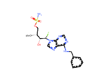 CO[C@H](COS(N)(=O)=O)[C@@H](O)[C@@H](F)n1cnc2c(NCc3ccccc3)ncnc21